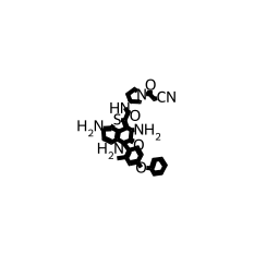 Cc1cc(Oc2ccccc2)ccc1C1(N)C(=O)C(N)c2c(C(=O)NC3CCN(C(=O)CC#N)C3)sc3c(N)ccc1c23